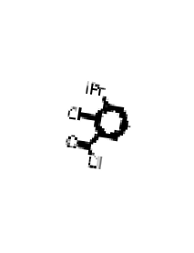 CC(C)c1cccc(C(=O)Cl)c1Cl